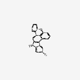 Clc1ccc2[nH]c3cc4c5c(cccc5c3c2c1)Oc1ccccc1-4